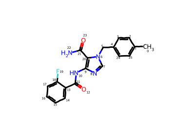 Cc1ccc(Cn2cnc(NC(=O)c3ccccc3F)c2C(N)=O)cc1